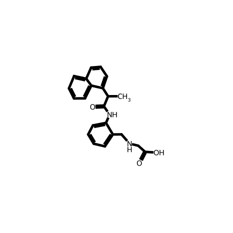 CC(C(=O)Nc1ccccc1CNCC(=O)O)c1cccc2ccccc12